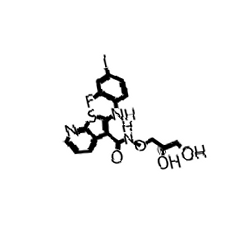 O=C(NOC[C@H](O)CO)c1c(Nc2ccc(I)cc2F)sc2ncccc12